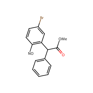 COC(=O)C(c1ccccc1)c1cc(Br)ccc1N=O